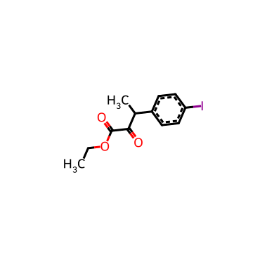 CCOC(=O)C(=O)C(C)c1ccc(I)cc1